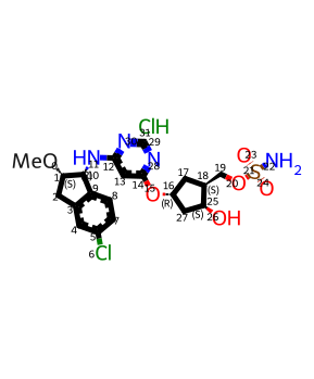 CO[C@H]1Cc2cc(Cl)ccc2[C@H]1Nc1cc(O[C@@H]2C[C@@H](COS(N)(=O)=O)[C@@H](O)C2)ncn1.Cl